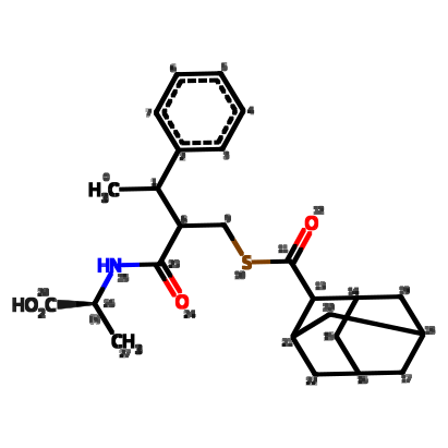 CC(c1ccccc1)C(CSC(=O)C1C2CC3CC(C2)CC1C3)C(=O)N[C@@H](C)C(=O)O